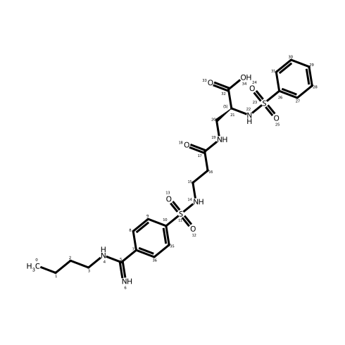 CCCCNC(=N)c1ccc(S(=O)(=O)NCCC(=O)NC[C@H](NS(=O)(=O)c2ccccc2)C(=O)O)cc1